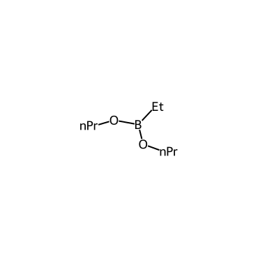 CCCOB(CC)OCCC